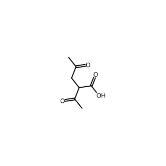 CC(=O)CC(C(C)=O)C(=O)O